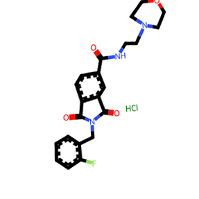 Cl.O=C(NCCN1CCOCC1)c1ccc2c(c1)C(=O)N(Cc1ccccc1F)C2=O